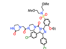 CCOc1ccc(S(=O)(=O)N(CCOC)CCOC)cc1C1=NC(c2ccc(Cl)cc2)C(c2ccc(Cl)cc2)N1C(=O)N1CCN(C(=O)CN2CCNC(=O)C2)CC1